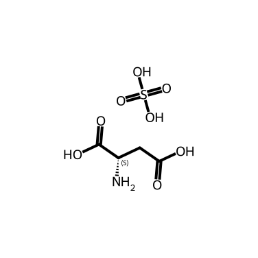 N[C@@H](CC(=O)O)C(=O)O.O=S(=O)(O)O